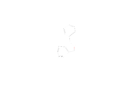 Fc1ccc2c(c1)COB2c1ccccc1